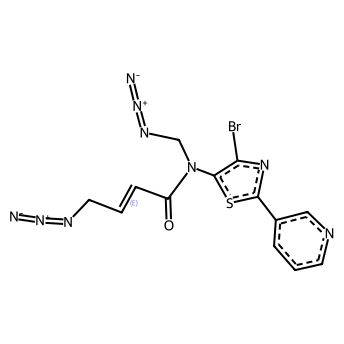 [N-]=[N+]=NC/C=C/C(=O)N(CN=[N+]=[N-])c1sc(-c2cccnc2)nc1Br